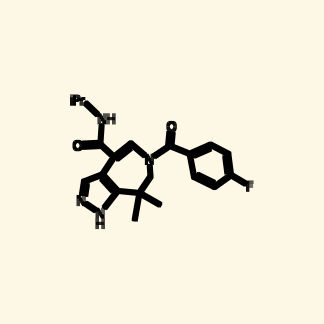 CC(C)NC(=O)C1=CN(C(=O)c2ccc(F)cc2)CC(C)(C)c2[nH]ncc21